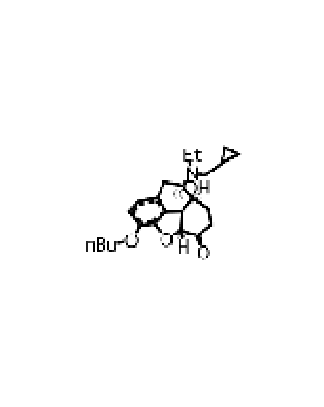 CCCCOc1ccc2c3c1O[C@H]1C(=O)CC[C@](O)(C31)[C@H](N(CC)CC1CC1)C2